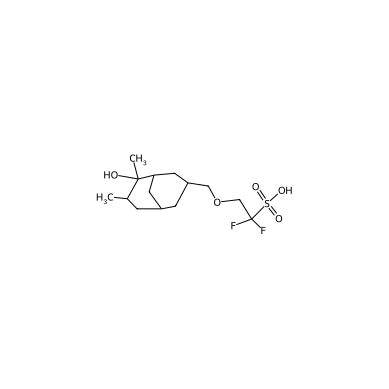 CC1CC2CC(COCC(F)(F)S(=O)(=O)O)CC(C2)C1(C)O